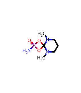 CN1CCCN(C)C12OP(N)(=O)O2